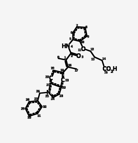 CC(C(=O)Nc1ccccc1OCCCC(=O)O)=C(C)c1ccc2c(ccn2Cc2ccccc2)c1